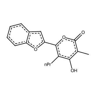 CCCc1c(-c2cc3ccccc3o2)oc(=O)c(C)c1O